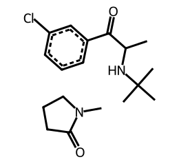 CC(NC(C)(C)C)C(=O)c1cccc(Cl)c1.CN1CCCC1=O